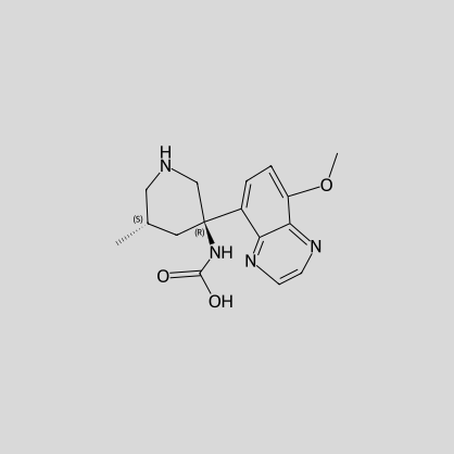 COc1ccc([C@@]2(NC(=O)O)CNC[C@@H](C)C2)c2nccnc12